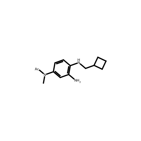 CC(=O)N(C)c1ccc(NCC2CCC2)c(N)c1